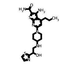 CCCc1cc(N2CCC(NCC(O)c3nccs3)CC2)nc2sc(C(N)=O)c(N)c12